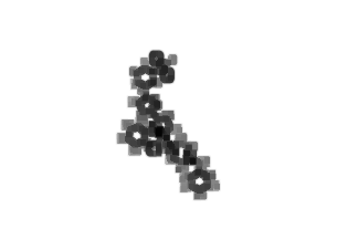 CS(=O)(=O)c1cccc(-c2ccc(C3C=CN(CN4CCN(Cc5ccccc5)CC4)N3c3ccccc3Cl)s2)c1